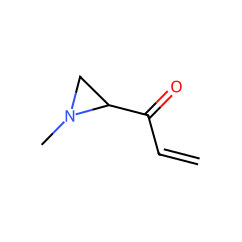 C=CC(=O)C1CN1C